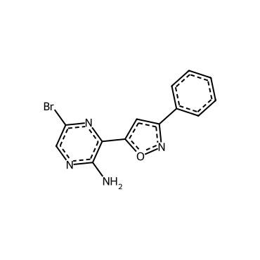 Nc1ncc(Br)nc1-c1cc(-c2ccccc2)no1